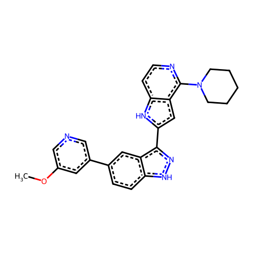 COc1cncc(-c2ccc3[nH]nc(-c4cc5c(N6CCCCC6)nccc5[nH]4)c3c2)c1